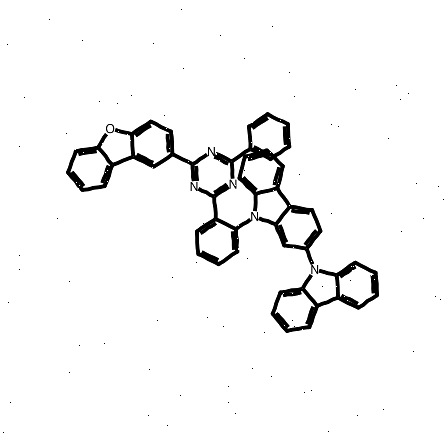 c1ccc(-c2nc(-c3ccc4oc5ccccc5c4c3)nc(-c3ccccc3-n3c4ccccc4c4ccc(-n5c6ccccc6c6ccccc65)cc43)n2)cc1